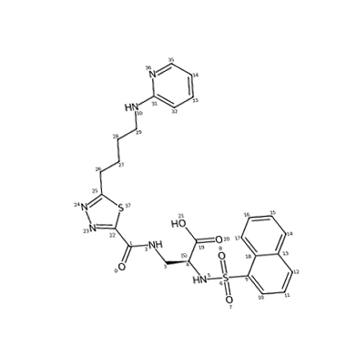 O=C(NC[C@H](NS(=O)(=O)c1cccc2ccccc12)C(=O)O)c1nnc(CCCCNc2ccccn2)s1